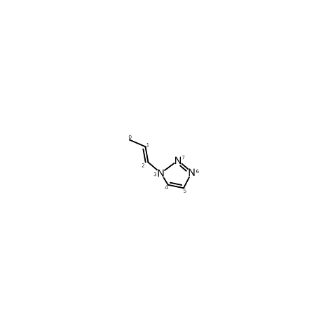 CC=Cn1ccnn1